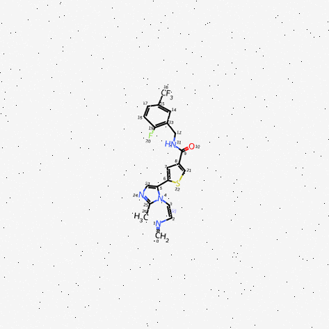 C=N/C=C\n1c(-c2cc(C(=O)NCc3cc(C(F)(F)F)ccc3F)cs2)cnc1C